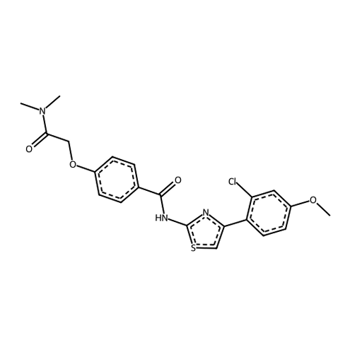 COc1ccc(-c2csc(NC(=O)c3ccc(OCC(=O)N(C)C)cc3)n2)c(Cl)c1